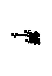 CCCCCCCCCCCCCCCC(=O)OCC(CNC(=O)OC(C)(C)C)C(Cc1ccccc1-c1ccccc1)(NC(=O)CCCCC)C(=O)NC(Cc1ccccc1)C(=O)NC(=O)N1CCOCC1